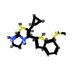 CSc1cccc2cc(C3=C(C4CC4)SC4=NCCN43)sc12